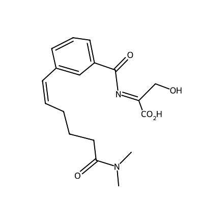 CN(C)C(=O)CCC/C=C\c1cccc(C(=O)/N=C(\CO)C(=O)O)c1